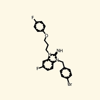 N=c1n(CCCOc2ccc(F)cc2)c2cc(F)ccc2n1Cc1ccc(Br)cc1